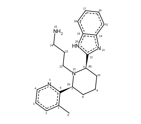 Cc1cccnc1[C@@H]1CCC[C@H](c2nc3ccccc3[nH]2)N1CCCN